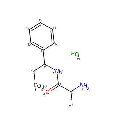 CC(N)C(=O)NC(CC(=O)O)c1ccccc1.Cl